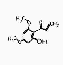 C=CC(=O)c1c(O)cc(OC)cc1OC